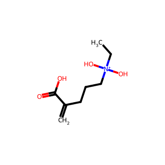 C=C(CCC[N+](O)(O)CC)C(=O)O